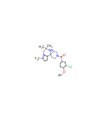 CC(C)Oc1ccc(C(=O)N2CCC3(CC2)NC(C)(C)Cn2c(C(F)(F)F)ccc23)cc1Cl